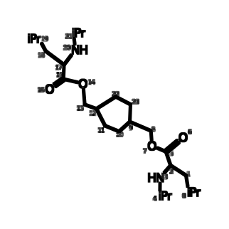 CC(C)CC(NC(C)C)C(=O)OCC1CCC(COC(=O)C(CC(C)C)NC(C)C)CC1